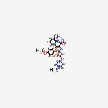 COc1ccc(S(=O)(=O)N(CCCN2CCN(C)CC2)Cc2cc3cccc(C)c3[nH]c2=O)cc1